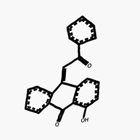 O=C(C=C1c2ccccc2C(=O)c2c(O)cccc21)c1ccccc1